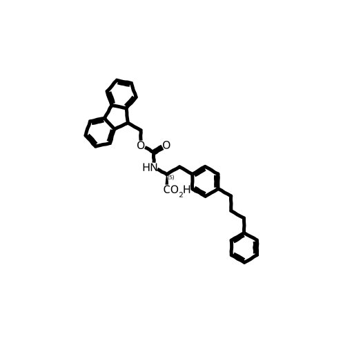 O=C(N[C@@H](Cc1ccc(CCCc2ccccc2)cc1)C(=O)O)OCC1c2ccccc2-c2ccccc21